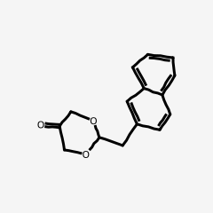 O=C1COC(Cc2ccc3ccccc3c2)OC1